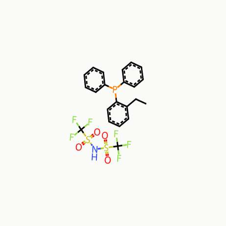 CCc1ccccc1P(c1ccccc1)c1ccccc1.O=S(=O)(NS(=O)(=O)C(F)(F)F)C(F)(F)F